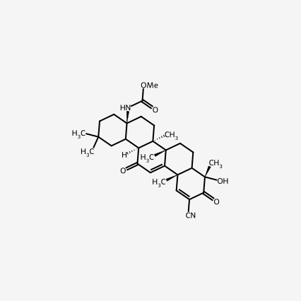 COC(=O)N[C@]12CCC(C)(C)CC1[C@@H]1C(=O)C=C3[C@@]4(C)C=C(C#N)C(=O)[C@@](C)(O)C4CC[C@@]3(C)[C@]1(C)CC2